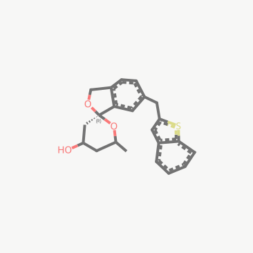 CC1CC(O)C[C@@]2(OCc3ccc(Cc4cc5ccccc5s4)cc32)O1